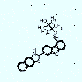 CC(C)(O)C(C)(C)OBc1cccc2oc3cc(C4Nc5cc6ccccc6cc5S4)ccc3c12